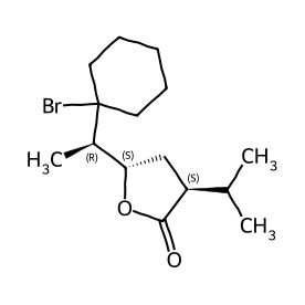 CC(C)[C@@H]1C[C@@H]([C@@H](C)C2(Br)CCCCC2)OC1=O